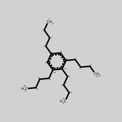 [CH2]CCCc1cc(CCCC)c(CCCC)c(CCCC)c1